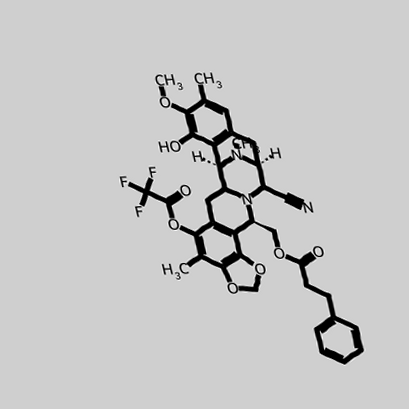 COc1c(C)cc2c(c1O)[C@@H]1C3Cc4c(OC(=O)C(F)(F)F)c(C)c5c(c4[C@H](COC(=O)CCc4ccccc4)N3C(C#N)[C@H](C2)N1C)OCO5